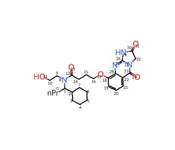 CCCC(C1CCCCC1)N(CCO)C(=O)CCCOc1cccc2c(=O)n3c(nc12)NC(=O)C3